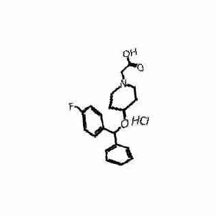 Cl.O=C(O)CN1CCC(OC(c2ccccc2)c2ccc(F)cc2)CC1